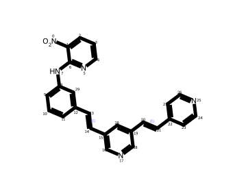 O=[N+]([O-])c1cccnc1Nc1cccc(/C=C/c2cncc(/C=C/c3ccncc3)c2)c1